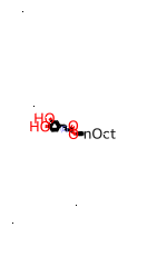 CCCCCCCCC#COC(=O)/C=C/c1ccc(O)c(O)c1